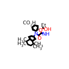 CCC(O)OC(=N)C(=O)N(c1ccc(C(=O)O)cc1)c1ccc2c(c1)C(C)(C)CCC2(C)C